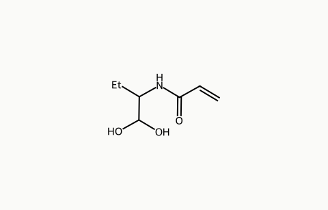 C=CC(=O)NC(CC)C(O)O